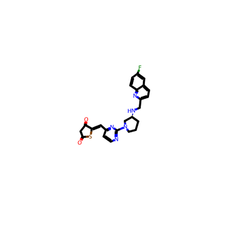 O=C1CC(=O)/C(=C/c2ccnc(N3CCC[C@@H](NCc4ccc5cc(F)ccc5n4)C3)n2)S1